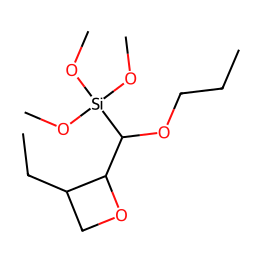 CCCOC(C1OCC1CC)[Si](OC)(OC)OC